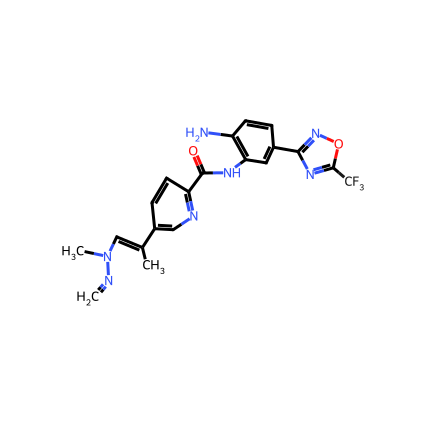 C=NN(C)/C=C(\C)c1ccc(C(=O)Nc2cc(-c3noc(C(F)(F)F)n3)ccc2N)nc1